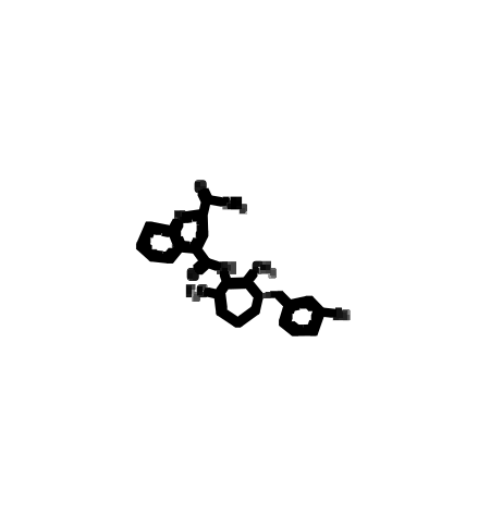 CC(=O)c1cccc(C[C@@H]2CCC=C(C(F)(F)F)C(NC(=O)c3cc(C(N)=O)nc4ccccc34)=C2C)c1